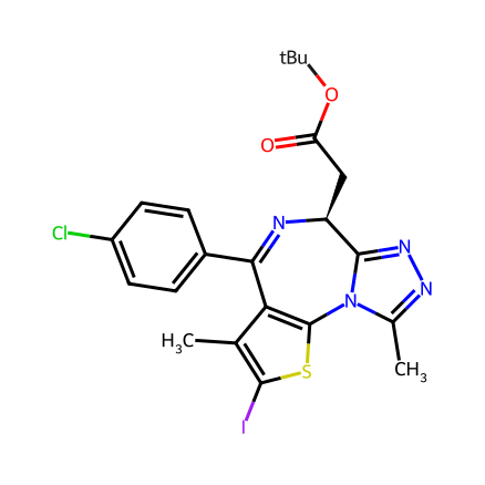 Cc1c(I)sc2c1C(c1ccc(Cl)cc1)=N[C@@H](CC(=O)OC(C)(C)C)c1nnc(C)n1-2